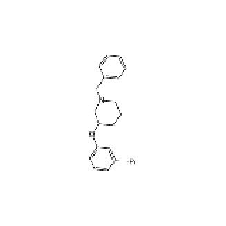 CC(C)c1cccc(OC2CCCN(Cc3ccccc3)C2)c1